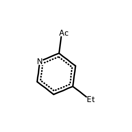 CCc1ccnc(C(C)=O)c1